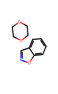 C1COCCO1.c1ccc2oncc2c1